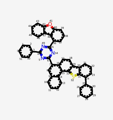 c1ccc(-c2nc(-c3cc4ccccc4c4c3ccc3c5cccc(-c6ccccc6)c5sc34)nc(-c3cccc4oc5ccccc5c34)n2)cc1